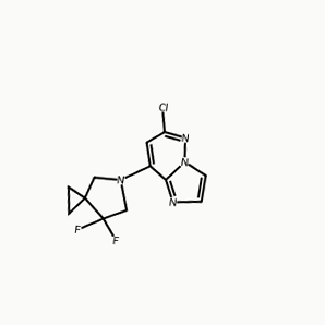 FC1(F)CN(c2cc(Cl)nn3ccnc23)CC12CC2